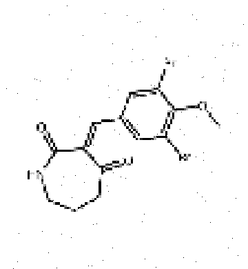 COc1c(Br)cc(C=C2C(=O)CCCNC2=O)cc1Br